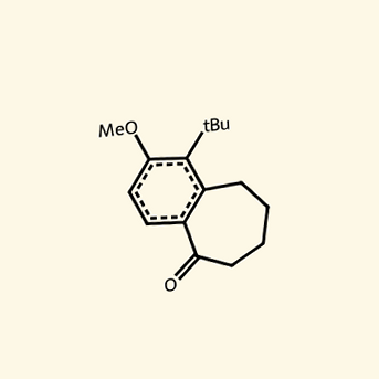 COc1ccc2c(c1C(C)(C)C)CCCCC2=O